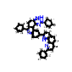 N=C1C=Cc2c(-c3ccccc3)nc3ccc(-c4ccc5ccc6ccc(-c7ccccc7)nc6c5n4)cc3c2/C1=N/Nc1ccccc1